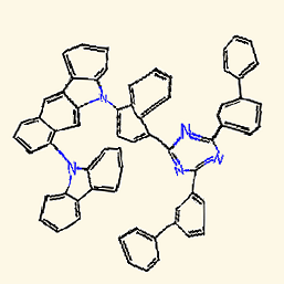 c1ccc(-c2cccc(-c3nc(-c4cccc(-c5ccccc5)c4)nc(-c4ccc(-n5c6ccccc6c6cc7cccc(-n8c9ccccc9c9ccccc98)c7cc65)c5ccccc45)n3)c2)cc1